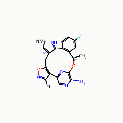 CCc1noc2c1-c1cnc(N)c(n1)O[C@H](C)c1cc(F)ccc1C(=N)/C(=C\NC)C2